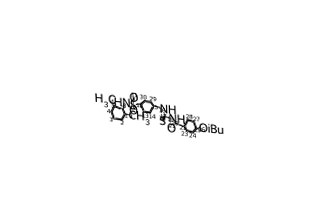 Cc1cccc(C)c1NS(=O)(=O)c1ccc(NC(=S)NC(=O)c2ccc(OCC(C)C)cc2)cc1